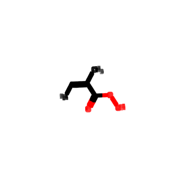 [2H]C=C(C)C(=O)OO